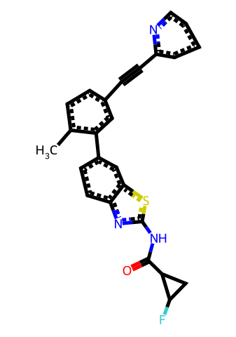 Cc1ccc(C#Cc2ccccn2)cc1-c1ccc2nc(NC(=O)C3CC3F)sc2c1